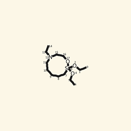 CCO[Si]1(OCC)CCCCCN(CC)CCO1